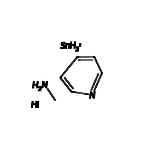 CN.I.[SnH2].c1ccncc1